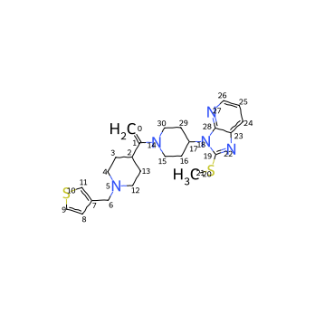 C=C(C1CCN(Cc2ccsc2)CC1)N1CCC(n2c(SC)nc3cccnc32)CC1